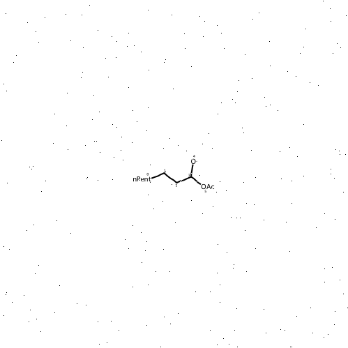 CCCCCCCC([O])OC(C)=O